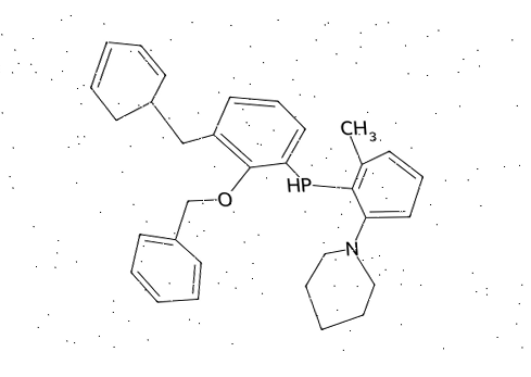 Cc1cccc(N2CCCCC2)c1Pc1cccc(CC2C=CC=CC2)c1OCc1ccccc1